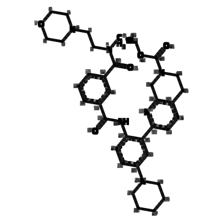 CN(CCN1CCOCC1)C(=O)c1cccc(C(=O)Nc2ccc(N3CCCCC3)cc2-c2ccc3c(n2)CN(C(=O)OC(C)(C)C)CC3)c1